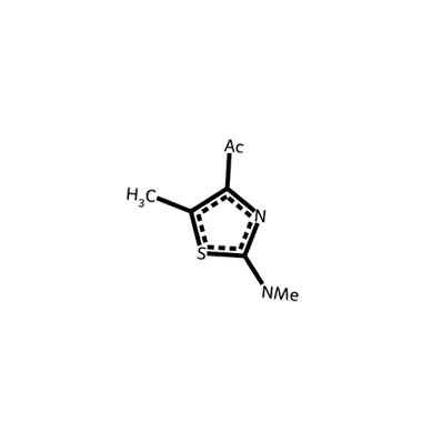 CNc1nc(C(C)=O)c(C)s1